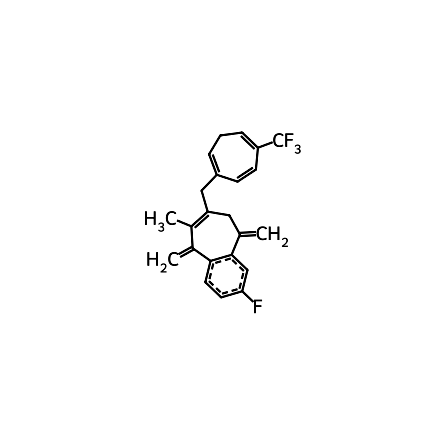 C=C1CC(CC2=CCC=C(C(F)(F)F)C=C2)=C(C)C(=C)c2ccc(F)cc21